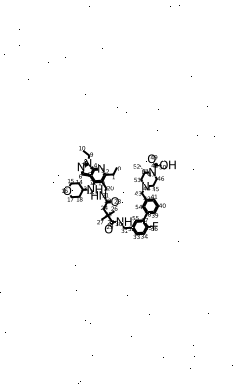 CCc1nc2c(cnn2CC)c(NC2CCOCC2)c1CNC(=O)CC(C)(C)C(=O)NCc1ccc(F)c(-c2cccc(CN3CCN(C(=O)O)[C@@H](C)C3)c2)c1